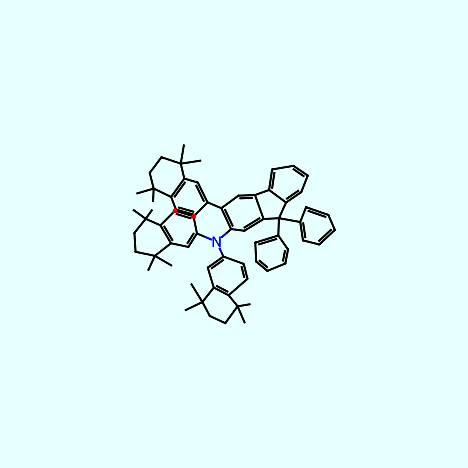 CC1(C)CCC(C)(C)c2cc(-c3cc4c(cc3N(c3ccc5c(c3)C(C)(C)CCC5(C)C)c3ccc5c(c3)C(C)(C)CCC5(C)C)C(c3ccccc3)(c3ccccc3)c3ccccc3-4)ccc21